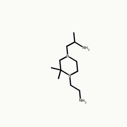 CC(N)CN1CCN(CCN)C(C)(C)C1